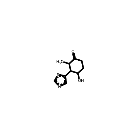 CC1C(=O)CCC(O)C1c1cncs1